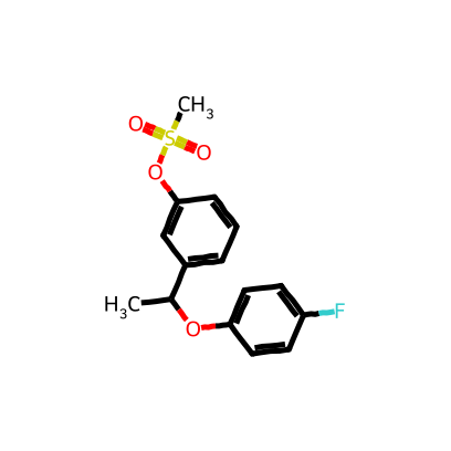 CC(Oc1ccc(F)cc1)c1cccc(OS(C)(=O)=O)c1